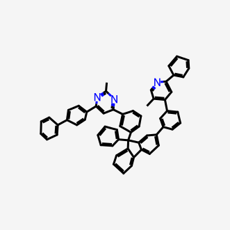 Cc1nc(-c2ccc(-c3ccccc3)cc2)cc(-c2cccc(C3(c4ccccc4)c4ccccc4-c4ccc(-c5cccc(-c6cc(-c7ccccc7)ncc6C)c5)cc43)c2)n1